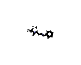 C/C(=C\C/C=C/c1ccccc1)C(=O)O